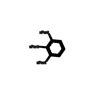 CCCCCc1cccc(CCCCC)c1CCCCC